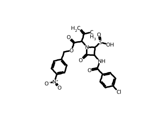 C=C(C)C(C(=O)OCc1ccc([N+](=O)[O-])cc1)N1C(=O)C(NC(=O)c2ccc(Cl)cc2)C1S(=O)O